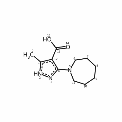 Cc1[nH]nc(N2CCCCCC2)c1C(=O)O